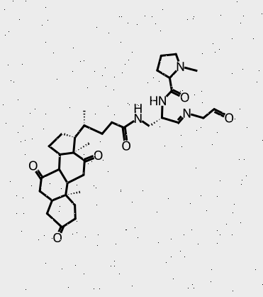 C[C@H](CCC(=O)NC[C@@H](/C=N/CC=O)NC(=O)C1CCCN1C)[C@H]1CCC2C3C(=O)CC4CC(=O)CC[C@]4(C)C3CC(=O)[C@@]21C